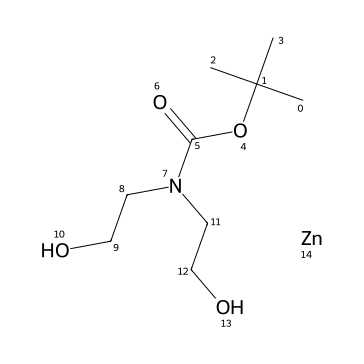 CC(C)(C)OC(=O)N(CCO)CCO.[Zn]